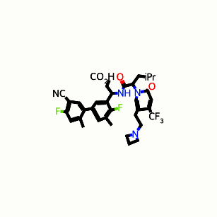 Cc1cc(F)c(C#N)cc1-c1cc(C)c(F)c(C(CC(=O)O)NC(=O)C(CC(C)C)n2cc(CCN3CCC3)c(C(F)(F)F)cc2=O)c1